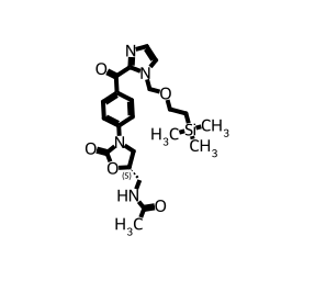 CC(=O)NC[C@H]1CN(c2ccc(C(=O)c3nccn3COCC[Si](C)(C)C)cc2)C(=O)O1